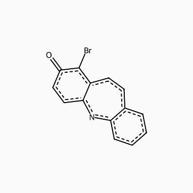 O=c1ccc2nc3ccccc3ccc-2c1Br